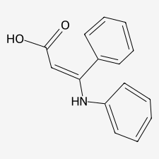 O=C(O)C=C(Nc1ccccc1)c1ccccc1